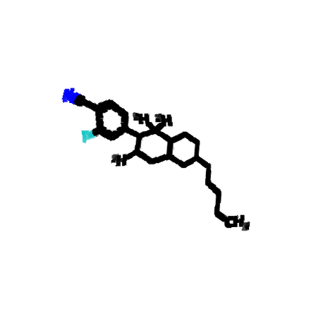 [2H]C1CC2CC(CCCCC)CCC2C([2H])([2H])C1c1ccc(C#N)c(F)c1